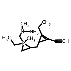 C#CC1=C(CC)C1CC1CP1(C)(CC)CN(C)N